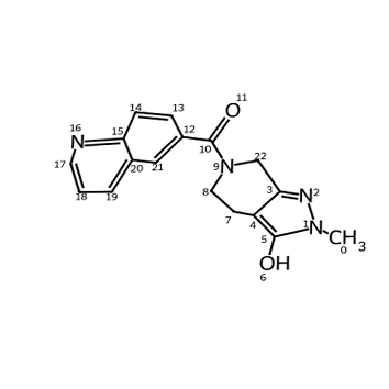 Cn1nc2c(c1O)CCN(C(=O)c1ccc3ncccc3c1)C2